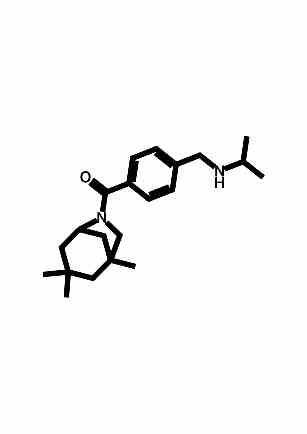 CC(C)NCc1ccc(C(=O)N2CC3(C)CC2CC(C)(C)C3)cc1